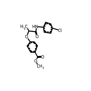 COC(=O)c1ccc(OC(C)C(=O)Nc2ccc(Cl)cc2)cc1